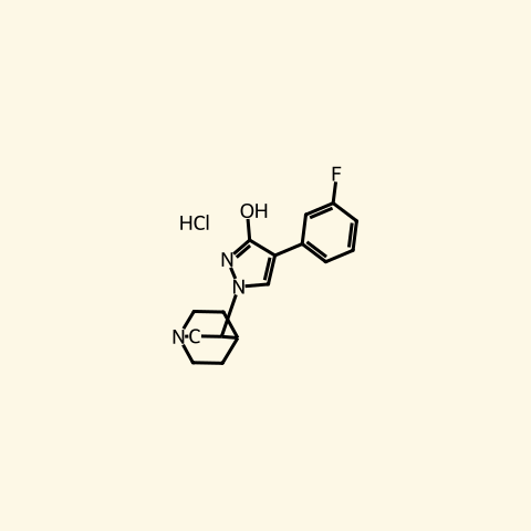 Cl.Oc1nn(C2CN3CCC2CC3)cc1-c1cccc(F)c1